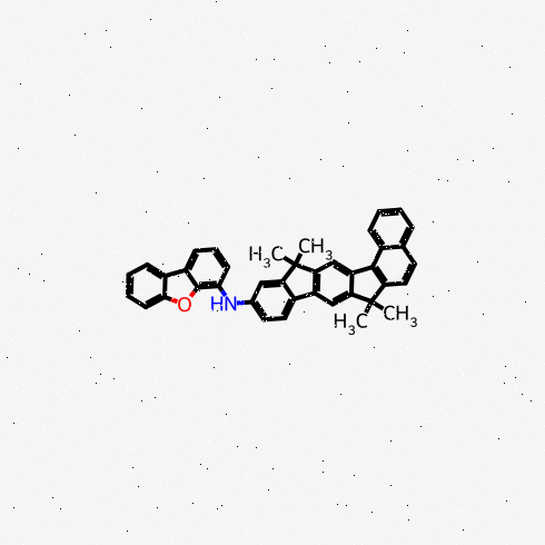 CC1(C)c2cc(Nc3cccc4c3oc3ccccc34)ccc2-c2cc3c(cc21)-c1c(ccc2ccccc12)C3(C)C